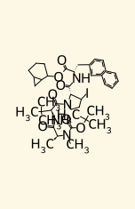 C[C@@H](C(=O)N[C@H](C(=O)N1CCC(I)[C@H]1C(=O)N[C@@H](Cc1ccc2ccccc2c1)C(=O)OC1CCCC2CC21)C(C)(C)C)N(C)C(=O)OC(C)(C)C